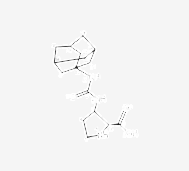 O=C(O)[C@H]1NCCC1NC(=S)NC12CC3CC(CC(C3)C1)C2